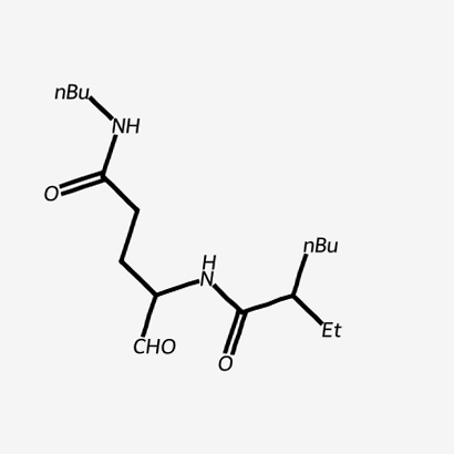 CCCCNC(=O)CCC(C=O)NC(=O)C(CC)CCCC